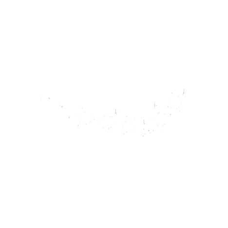 C/C=C/CCc1ccc(-c2ccc(-c3ccc(C(F)(F)Oc4ccc(-c5ccc(F)cc5)c(F)c4)cc3)c(F)c2)cc1